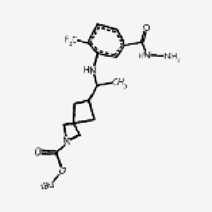 CC(Nc1cc(C(=O)NN)ccc1C(F)(F)F)C1CC2(C1)CN(C(=O)OC(C)(C)C)C2